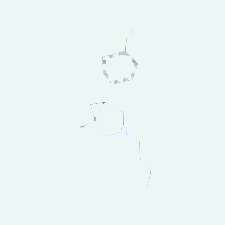 ClCCCN1C[C@@H]2C[C@@]2(c2ccc(Br)cc2)C1